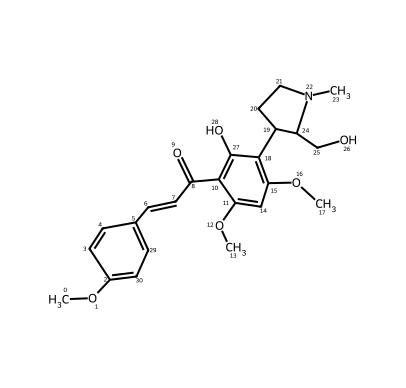 COc1ccc(C=CC(=O)c2c(OC)cc(OC)c(C3CCN(C)C3CO)c2O)cc1